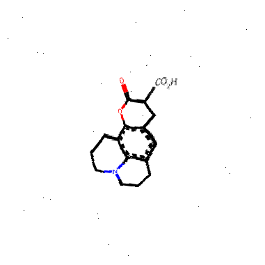 O=C(O)C1Cc2cc3c4c(c2OC1=O)CCCN4CCC3